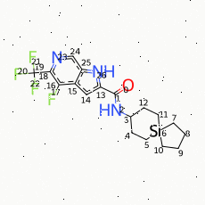 O=C(NC1CC[Si]2(CCCC2)CC1)c1cc2c(F)c(C(F)(F)F)ncc2[nH]1